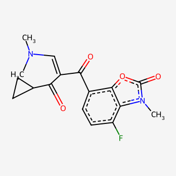 CN(C)C=C(C(=O)c1ccc(F)c2c1oc(=O)n2C)C(=O)C1CC1